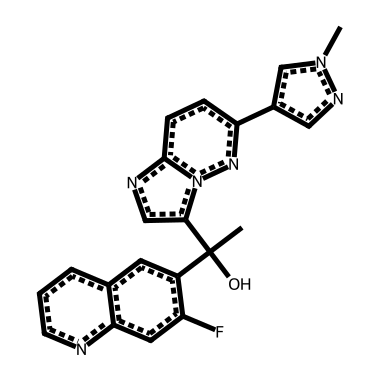 Cn1cc(-c2ccc3ncc(C(C)(O)c4cc5cccnc5cc4F)n3n2)cn1